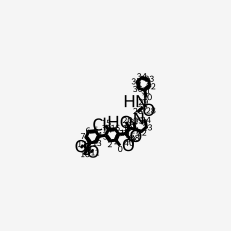 Cc1cc(-c2cccc(S(C)(=O)=O)c2)c(Cl)cc1C1=C(O)C2(CCCN(CC(=O)NCc3ccccc3)C2)OC1=O